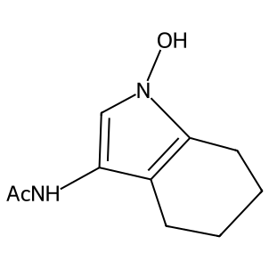 CC(=O)Nc1cn(O)c2c1CCCC2